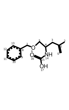 C=C(C)CC(COCc1ccccc1)NC(=O)O